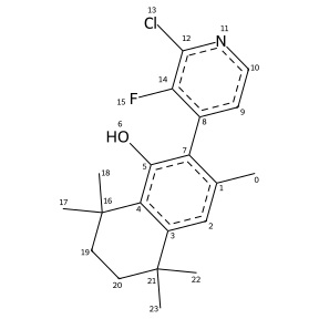 Cc1cc2c(c(O)c1-c1ccnc(Cl)c1F)C(C)(C)CCC2(C)C